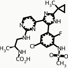 C[C@@H](CNc1nccc(-c2nc(C3(C)CC3)[nH]c2-c2cc(Cl)cc(NS(C)(=O)=O)c2F)n1)NC(=O)O